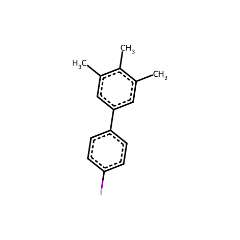 Cc1cc(-c2ccc(I)cc2)cc(C)c1C